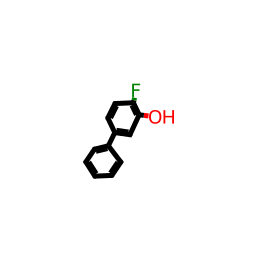 Oc1cc(-c2ccccc2)ccc1F